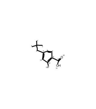 CC(C)(C)Cc1ccc(C(=O)O)c(F)c1